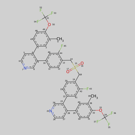 Cc1cc(-c2ccncc2-c2ccc(CS(=O)(=O)Cc3ccc(-c4cnccc4-c4ccc(OC(F)(F)F)c(C)c4)cc3F)c(F)c2)ccc1OC(F)(F)F